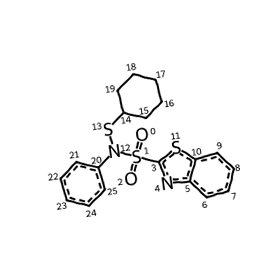 O=S(=O)(c1nc2ccccc2s1)N(SC1CCCCC1)c1ccccc1